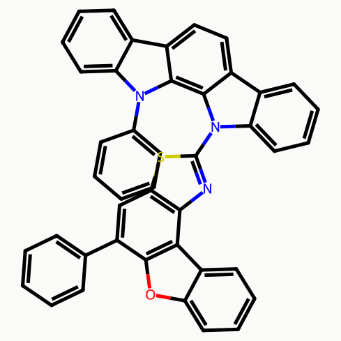 c1ccc(-c2cc3sc(-n4c5ccccc5c5ccc6c7ccccc7n(-c7ccccc7)c6c54)nc3c3c2oc2ccccc23)cc1